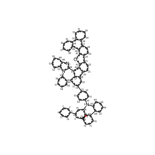 c1ccc(-c2cccc(N(c3ccc(-c4ccc5c(c4)c4ccc6c7ccc8c9ccccc9c9ccccc9c8c7oc6c4n5-c4nc5ccccc5n4-c4ccccc4)cc3)c3ccccc3-c3ccccc3)c2)cc1